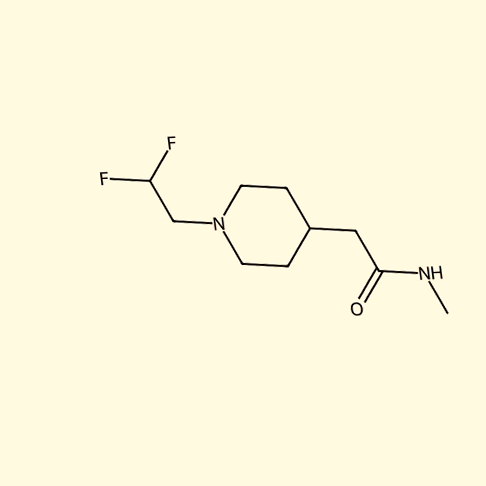 CNC(=O)CC1CCN(CC(F)F)CC1